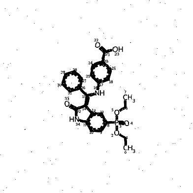 CCOP(=O)(OCC)c1ccc2c(c1)C(=C(Nc1ccc(C(=O)O)cc1)c1ccccc1)C(=O)N2